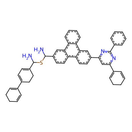 NC(SC(N)c1ccc2c3ccc(-c4cc(C5=CCCC=C5)nc(-c5ccccc5)n4)cc3c3ccccc3c2c1)C1=CC=C(C2=CCCC=C2)CC1